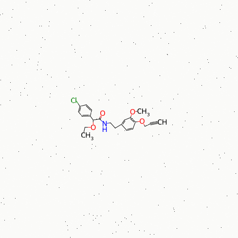 C#CCOc1ccc(CCNC(=O)C(OCC)c2ccc(Cl)cc2)cc1OC